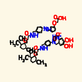 CC1CCC(C(C)C)C(OCC(=O)NCc2ccc(NCc3cc(O)c(O)cc3[N+](=O)[O-])cc2)C1.CC1CCC(C(C)C)C(OCC(=O)NCc2ccc(NCc3cccc(OCC(=O)O)c3)cc2)C1